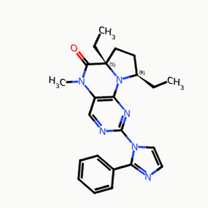 CC[C@@H]1CC[C@@]2(CC)C(=O)N(C)c3cnc(-n4ccnc4-c4ccccc4)nc3N12